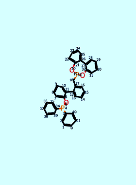 c1ccc(P(Oc2ccccc2-c2ccccc2Cp2oc3ccccc3c3ccccc3o2)c2ccccc2)cc1